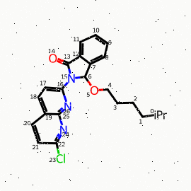 CC(C)CCCCOC1c2ccccc2C(=O)N1c1ccc2ccc(Cl)nc2n1